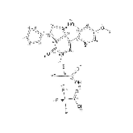 COc1cnc(-c2nn(C)c(=O)c3c(-c4ccncc4)csc23)c(O)c1.O=C(O)C(F)(F)F.O=C(O)C(F)(F)F